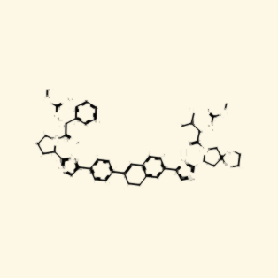 COC(=O)N[C@H](C(=O)N1CC2(C[C@H]1c1ncc(-c3ccc4c(c3)CCC(c3ccc(-c5cnc(C6CCCN6C(=O)[C@H](NC(=O)OC)c6ccccc6)[nH]5)cc3)=C4)[nH]1)OCCO2)C(C)C